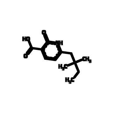 CCC(C)(C)Cc1ccc(C(=O)O)c(=O)[nH]1